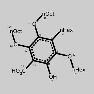 CCCCCCCCOc1c(CCCCCC)c(OCCCCCC)c(O)c(C(=O)O)c1OCCCCCCCC